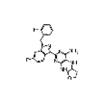 Nc1nc(-c2nn(Cc3ccccc3F)c3cc(F)ccc23)nc(N)c1NC1CCOC1